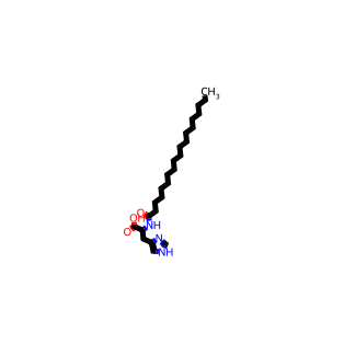 CCCCCCCCCCCCCCCCCCC(=O)NC(Cc1c[nH]cn1)C(=O)O